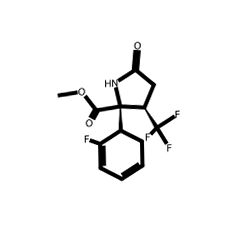 COC(=O)[C@]1(C2CC=CC=C2F)NC(=O)C[C@H]1C(F)(F)F